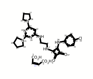 O=C(O)/C=C\C(=O)O.O=c1c(NCCNc2cc(N3CCCC3)nc(N3CCCC3)n2)c(Nc2ccc(Cl)cc2)c1=O